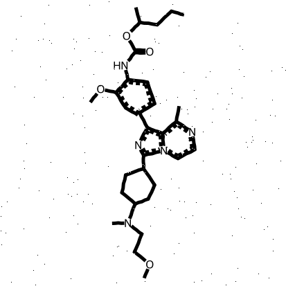 CCCC(C)OC(=O)Nc1ccc(-c2nc(C3CCC(N(C)CCOC)CC3)n3ccnc(C)c23)cc1OC